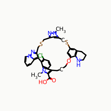 Cn1nc2cc1CSc1cc3c(c(c1)OCCCc1c(C(=O)O)n(C)c4c(c(Cl)ccc14)-c1c(nn4ccccc14)CSC2)NCCC3